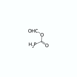 O=COC(=O)P